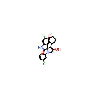 O=C1C=C2C(=CC1Cl)NC(=O)C21C(C2CCCCC2)=C(O)CN1c1cccc(Cl)c1